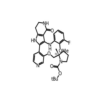 COc1c(F)cccc1Nc1c(-c2ccncc2OC[C@]2(C)CCCN2C(=O)OC(C)(C)C)[nH]c2c1C(=O)NCC2